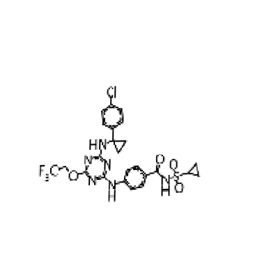 O=C(NS(=O)(=O)C1CC1)c1ccc(Nc2nc(NC3(c4ccc(Cl)cc4)CC3)nc(OCC(F)(F)F)n2)cc1